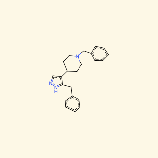 c1ccc(Cc2[nH]ncc2C2CCN(Cc3ccccc3)CC2)cc1